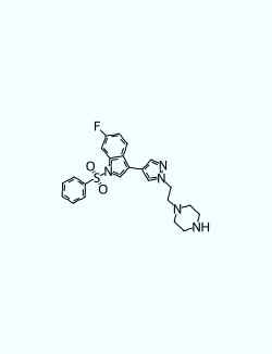 O=S(=O)(c1ccccc1)n1cc(-c2cnn(CCN3CCNCC3)c2)c2ccc(F)cc21